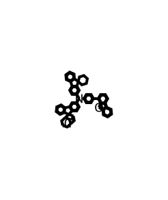 c1ccc2c(c1)-c1ccc(N(c3ccc(-c4cccc5c4oc4ccccc45)cc3)c3ccc4c(c3)-c3ccccc3C43C4CCC5CC(C4)CC3C5)cc1C21CCCCC1